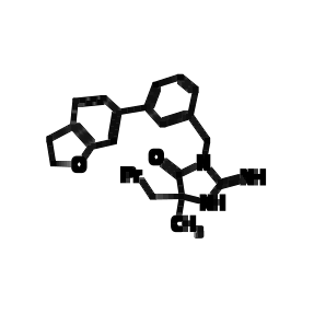 CC(C)CC1(C)NC(=N)N(Cc2cccc(-c3ccc4c(c3)OCC4)c2)C1=O